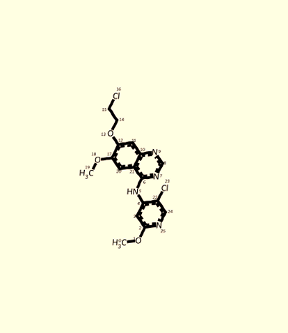 COc1cc(Nc2ncnc3cc(OCCCl)c(OC)cc23)c(Cl)cn1